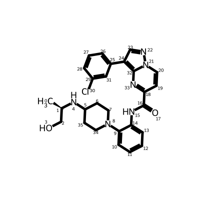 C[C@H](CO)NC1CCN(c2ccccc2NC(=O)c2ccn3ncc(-c4cccc(Cl)c4)c3n2)CC1